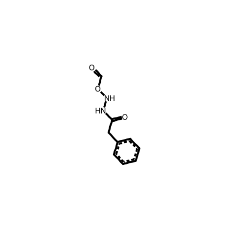 O=CONNC(=O)Cc1ccccc1